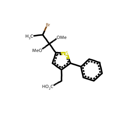 COC(OC)(c1cc(CC(=O)O)c(-c2ccccc2)s1)C(C)Br